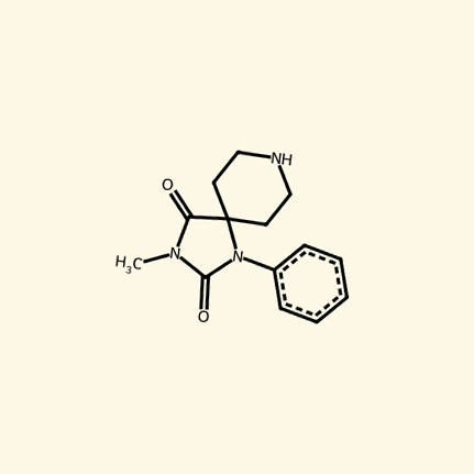 CN1C(=O)N(c2ccccc2)C2(CCNCC2)C1=O